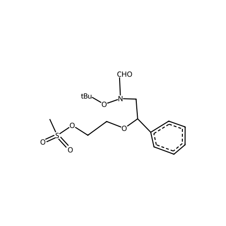 CC(C)(C)ON(C=O)CC(OCCOS(C)(=O)=O)c1ccccc1